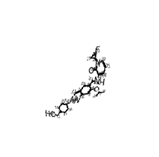 CC(C)Oc1cc2nn(C3CCC(CO)CC3)cc2cc1CNc1cccn(C2C[C@@H]2F)c1=O